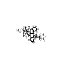 CCN(C(=O)OC(C)(C)C)c1nc2ccc(F)cc2c(C(=O)NC(C)C)c1-c1ccccc1